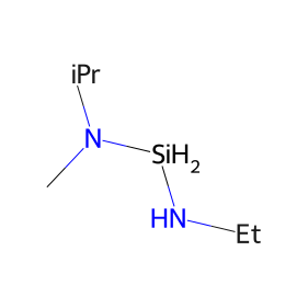 CCN[SiH2]N(C)C(C)C